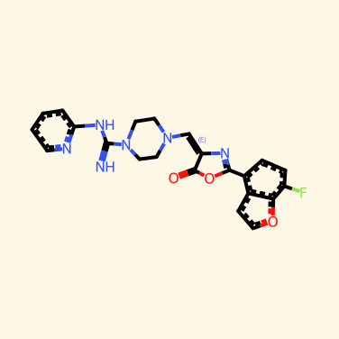 N=C(Nc1ccccn1)N1CCN(/C=C2/N=C(c3ccc(F)c4occc34)OC2=O)CC1